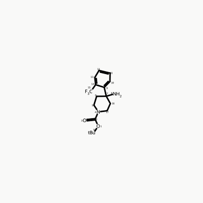 CC(C)(C)OC(=O)N1CCC(N)(c2ccccc2C(F)(F)F)CC1